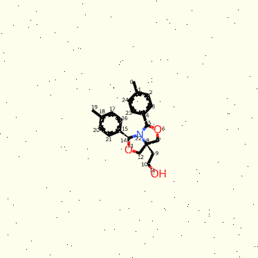 Cc1ccc(C2OC[C@]3(CCO)CO[C@@H](c4ccc(C)cc4)N23)cc1